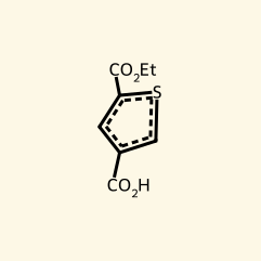 CCOC(=O)c1cc(C(=O)O)cs1